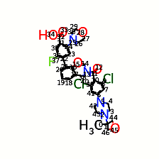 CC1(N2CCN(c3cc(Cl)c(C(=O)N4COc5c(cccc5-c5cc(N6CCOCC6)c(C(=O)O)cc5F)C4)c(Cl)c3)CC2)COC1